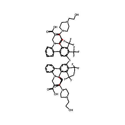 O=C(O)C1CCCN(c2ccccc2-c2cc(Sc3cc(-c4ccccc4N4CCCC(C(=O)O)C4)c(/C=C/C(=O)N4CCN(CCO)CC4)c(C(F)(F)F)c3C(F)(F)F)c(C(F)(F)F)c(C(F)(F)F)c2/C=C/C(=O)N2CCN(CCO)CC2)C1